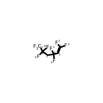 FC(F)=CC(F)(F)CC(F)(F)C(F)(F)F